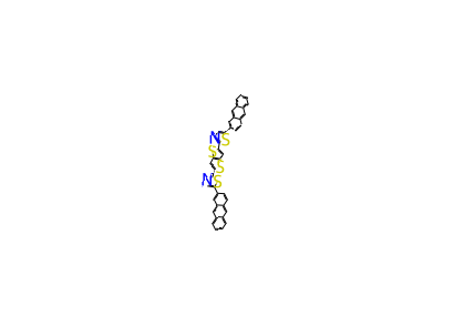 c1ccc2cc3cc(-c4cnc(-c5cc6sc(-c7ncc(-c8ccc9cc%10ccccc%10cc9c8)s7)cc6s5)s4)ccc3cc2c1